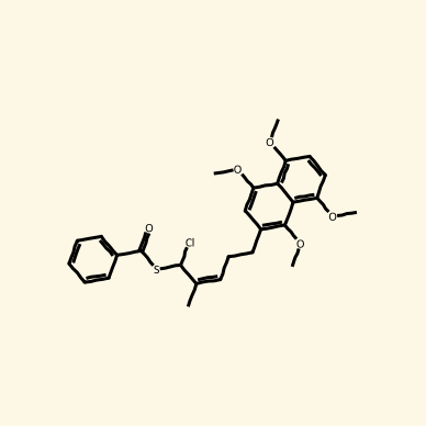 COc1ccc(OC)c2c(OC)c(CCC=C(C)C(Cl)SC(=O)c3ccccc3)cc(OC)c12